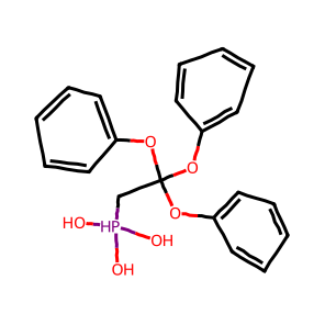 O[PH](O)(O)CC(Oc1ccccc1)(Oc1ccccc1)Oc1ccccc1